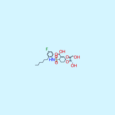 CCCCCCc1cc(F)ccc1NS(=O)(=O)C1CCC2(C=C1C(=O)O)O[C@@H](CO)[C@H](CO)O2